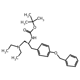 CCN(CC)C[C@H](Cc1ccc(OCc2ccccc2)cc1)NC(=O)OC(C)(C)C